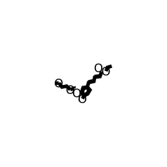 CCOC(=O)C=CC=Cc1ccc(OC)c(OCOCCOC)c1